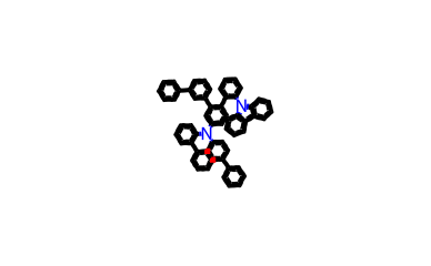 c1ccc(-c2ccc(N(c3ccc(-c4ccccc4-n4c5ccccc5c5ccccc54)c(-c4cccc(-c5ccccc5)c4)c3)c3ccccc3-c3ccccc3)cc2)cc1